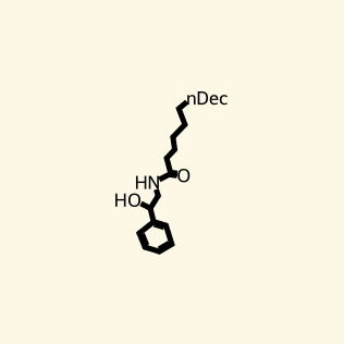 CCCCCCCCCCCCCCCC(=O)NCC(O)c1ccccc1